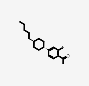 CCCCC[C@H]1CC[C@H](c2ccc(C(C)=O)c(F)c2)CC1